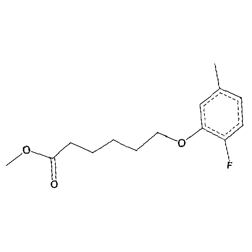 COC(=O)CCCCCOc1cc(C)ccc1F